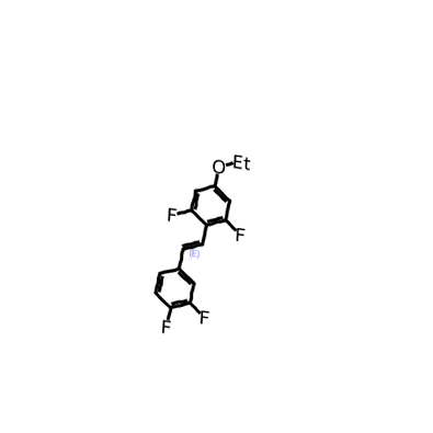 CCOc1cc(F)c(/C=C/c2ccc(F)c(F)c2)c(F)c1